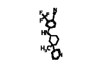 CC1(c2cccnc2)CCCC(Nc2ccc(C#N)c(C(F)(F)F)c2)C1